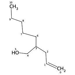 C=CCC(CO)CCCCC